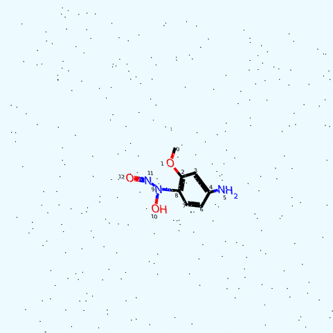 COc1cc(N)ccc1N(O)N=O